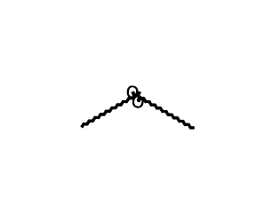 CCCCCCCCCCCCCCCCCCCC(=O)[C](C)C(=O)CCCCCCCCCCCCCCCCCCC